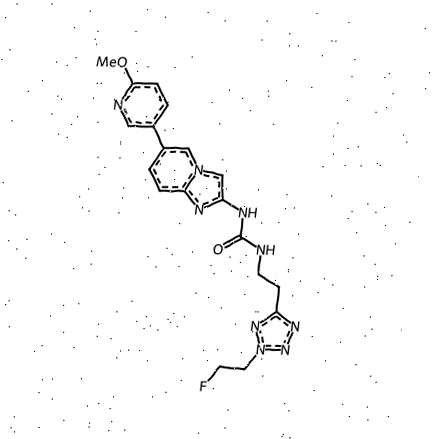 COc1ccc(-c2ccc3nc(NC(=O)NCCc4nnn(CCF)n4)cn3c2)cn1